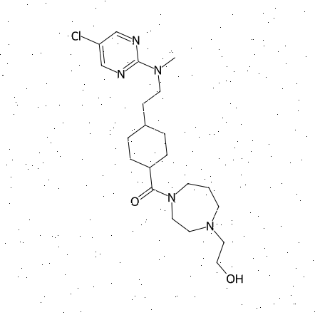 CN(CCC1CCC(C(=O)N2CCCN(CCO)CC2)CC1)c1ncc(Cl)cn1